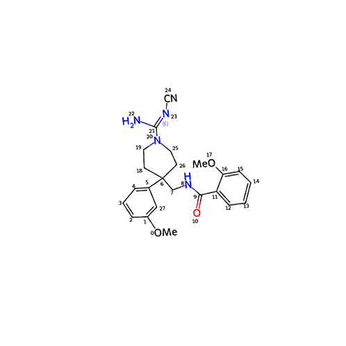 COc1cccc(C2(CNC(=O)c3ccccc3OC)CCN(/C(N)=N/C#N)CC2)c1